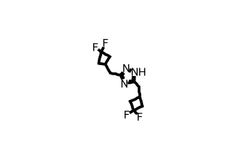 FC1(F)CC(Cc2n[nH]c(CC3CC(F)(F)C3)n2)C1